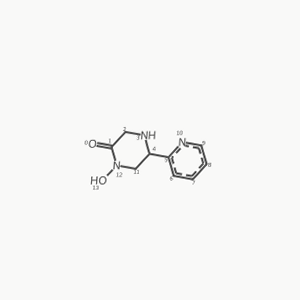 O=C1CNC(c2ccccn2)CN1O